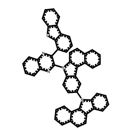 c1ccc2c(c1)ccc1c2c2cc(-n3c4ccccc4c4ccc5ccccc5c43)ccc2n1-c1nc2ccccc2nc1-c1cccc2c1sc1ccccc12